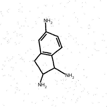 Nc1ccc2c(c1)[C]C(N)C2N